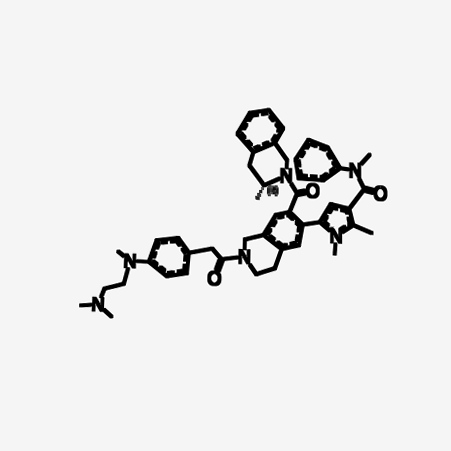 Cc1c(C(=O)N(C)c2ccccc2)cc(-c2cc3c(cc2C(=O)N2Cc4ccccc4C[C@H]2C)CN(C(=O)Cc2ccc(N(C)CCN(C)C)cc2)CC3)n1C